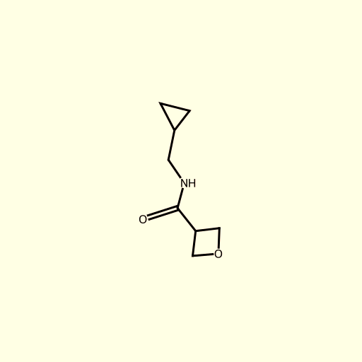 O=C(NCC1CC1)C1COC1